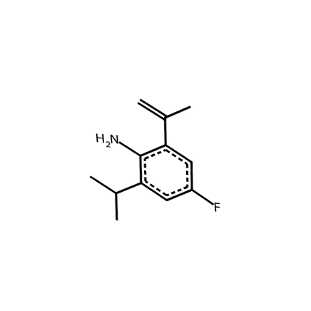 C=C(C)c1cc(F)cc(C(C)C)c1N